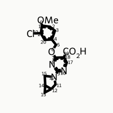 COc1ccc(COc2nc(N3CC4CC4C3)ncc2C(=O)O)cc1Cl